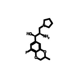 CC1COc2c(F)cc([C@@H](O)[C@H](N)CN3CCCC3)cc2O1